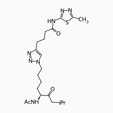 CC(=O)N[C@@H](CCCCn1cc(CCCC(=O)Nc2nnc(C)s2)nn1)C(=O)CC(C)C